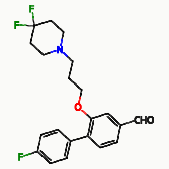 O=Cc1ccc(-c2ccc(F)cc2)c(OCCCN2CCC(F)(F)CC2)c1